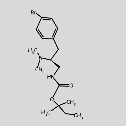 CCC(C)(C)OC(=O)NC[C@H](Cc1ccc(Br)cc1)N(C)C